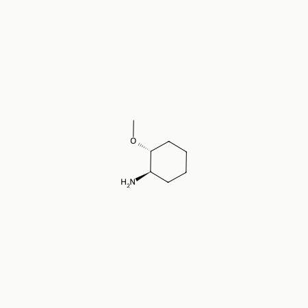 CO[C@@H]1CCCC[C@H]1N